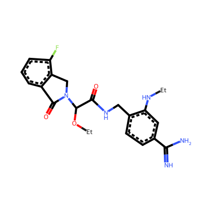 CCNc1cc(C(=N)N)ccc1CNC(=O)C(OCC)N1Cc2c(F)cccc2C1=O